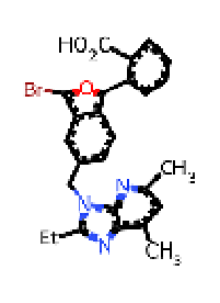 CCc1nc2c(C)cc(C)nc2n1Cc1ccc2c(-c3ccccc3C(=O)O)oc(Br)c2c1